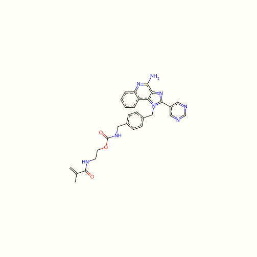 C=C(C)C(=O)NCCOC(=O)NCc1ccc(Cn2c(-c3cncnc3)nc3c(N)nc4ccccc4c32)cc1